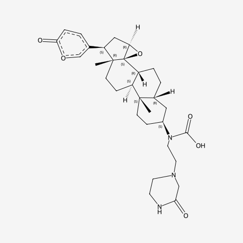 C[C@]12CC[C@H](N(CCN3CCNC(=O)C3)C(=O)O)C[C@H]1CC[C@@H]1[C@@H]2CC[C@]2(C)[C@@H](c3ccc(=O)oc3)C[C@H]3O[C@]132